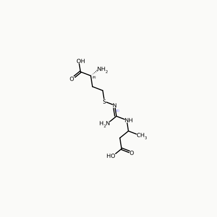 CC(CC(=O)O)N/C(N)=N/SCC[C@@H](N)C(=O)O